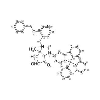 CC1(C)C(C(=O)C=O)N(c2ccc(C(c3ccccc3)(c3ccccc3)c3ccccc3)cc2)CN1Cc1ccncc1OCc1ccccc1